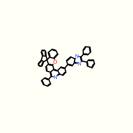 c1ccc(-c2nc3ccc(-c4ccc5nc(-c6ccccc6)c6ccc7c(c6c5c4)Oc4ccccc4C74c5ccccc5-c5ccccc54)cc3nc2-c2ccccc2)cc1